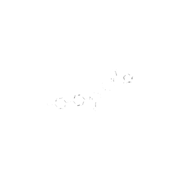 O=C(c1ccco1)N1CCN([C@@H]2CC(=O)N(c3ccc(-c4ccc(F)cc4)cc3)C2)CC1